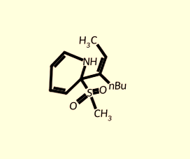 C/C=C(/CCCC)C1(S(C)(=O)=O)C=CC=CN1